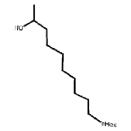 CCCCCCCCCCCCCCC(C)O